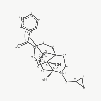 O=C(c1cccnc1)N1CC[C@]23CCN(CC4CC4)[C@H](Cc4ccc(O)cc42)[C@]3(O)CC1